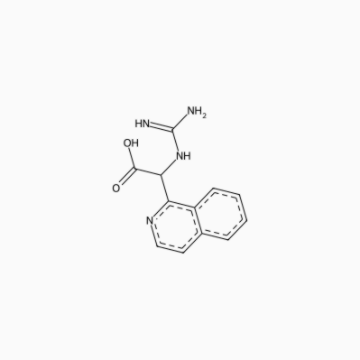 N=C(N)NC(C(=O)O)c1nccc2ccccc12